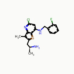 Cc1c(C[C@H](C)N)sc2c(NCc3ccccc3F)cc(Cl)nc12